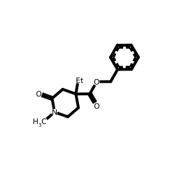 CCC1(C(=O)OCc2ccccc2)CCN(C)C(=O)C1